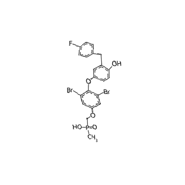 CP(=O)(O)COc1cc(Br)c(Oc2ccc(O)c(Cc3ccc(F)cc3)c2)c(Br)c1